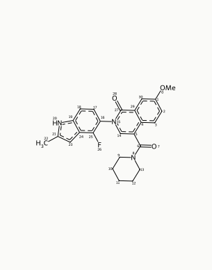 COc1ccc2c(C(=O)N3CCCCC3)cn(-c3ccc4[nH]c(C)cc4c3F)c(=O)c2c1